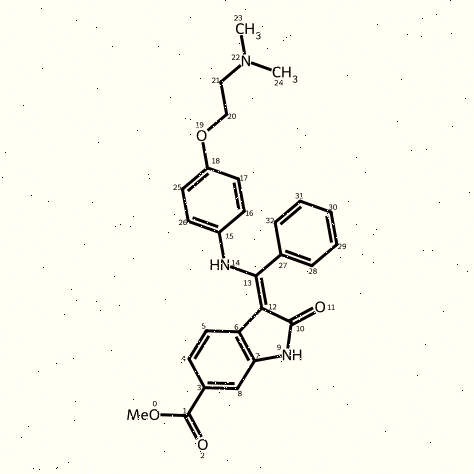 COC(=O)c1ccc2c(c1)NC(=O)C2=C(Nc1ccc(OCCN(C)C)cc1)c1ccccc1